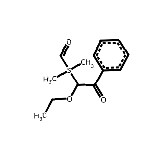 CCOC(C(=O)c1ccccc1)S(C)(C)C=O